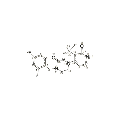 Cc1cc(F)ccc1CN1CCN(c2cn[nH]c(=O)c2C(C)(C)C)CC1=O